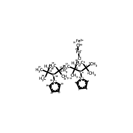 CC(C)(C)P([c-]1cccc1)C(C)(C)C.CC(C)(C)P([c-]1cccc1)C(C)(C)C.[Cl][Pd-][Cl].[Fe+2]